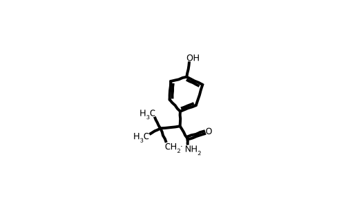 [CH2]C(C)(C)C(C(N)=O)c1ccc(O)cc1